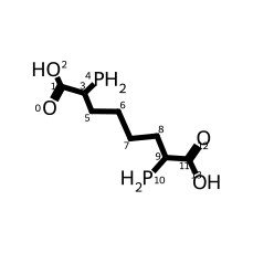 O=C(O)C(P)CCCCC(P)C(=O)O